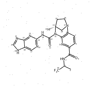 CC(NC(=O)c1ccc2c(n1)N(C(=O)Nc1ncc3[nH]cnc3n1)[C@H]1CCN2C1)C(F)(F)F